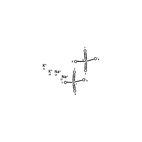 O=S(=O)([O-])[O-].O=S(=O)([O-])[O-].[K+].[K+].[Na+].[Na+]